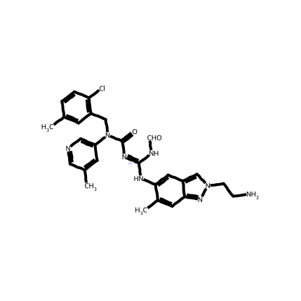 Cc1cncc(N(Cc2cc(C)ccc2Cl)C(=O)/N=C(\NC=O)Nc2cc3cn(CCN)nc3cc2C)c1